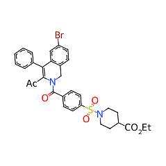 CCOC(=O)C1CCN(S(=O)(=O)c2ccc(C(=O)N3Cc4ccc(Br)cc4C(c4ccccc4)=C3C(C)=O)cc2)CC1